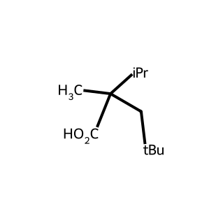 CC(C)C(C)(CC(C)(C)C)C(=O)O